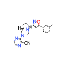 Cc1cccc(-c2cc([C@H]3CC[C@H]4CN(c5nccnc5C#N)CCN43)no2)c1